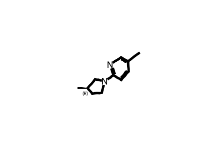 Cc1ccc(N2CC[C@@H](C)C2)nc1